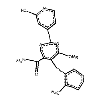 COc1ccccc1Oc1c(OC)nc(-c2ccnc(O)c2)nc1C(N)=O